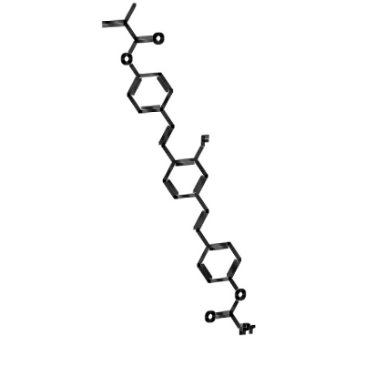 C=C(C)C(=O)Oc1ccc(/C=C/c2ccc(/C=C/c3ccc(OC(=O)C(C)C)cc3)cc2F)cc1